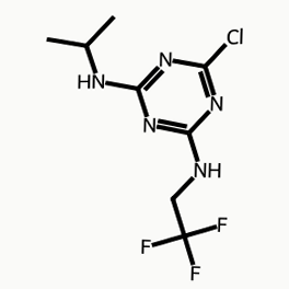 CC(C)Nc1nc(Cl)nc(NCC(F)(F)F)n1